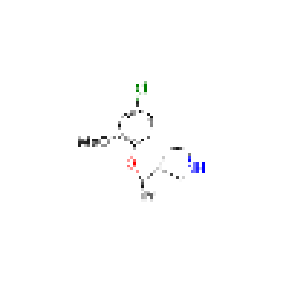 COc1cc(Cl)ccc1O[C@H](C(C)C)[C@@H]1CCNC1